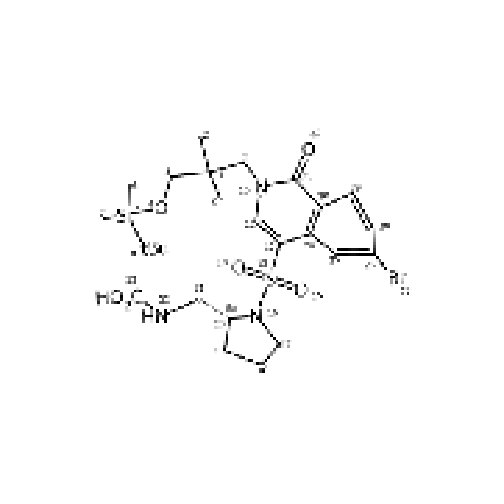 CC(C)(CO[Si](C)(C)C(C)(C)C)Cn1cc(S(=O)(=O)N2CCC[C@@H]2CNC(=O)O)c2cc(Br)ccc2c1=O